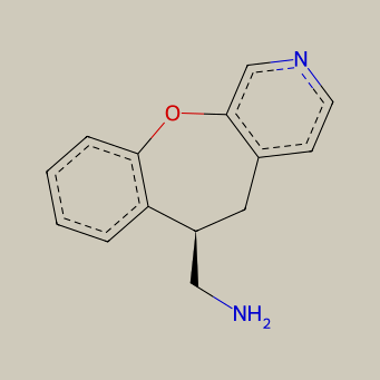 NC[C@@H]1Cc2ccncc2Oc2ccccc21